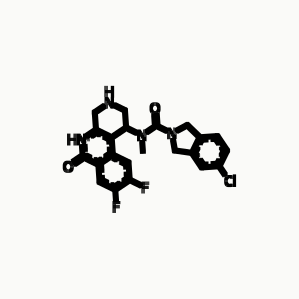 CN(C(=O)N1Cc2ccc(Cl)cc2C1)C1CNCc2[nH]c(=O)c3cc(F)c(F)cc3c21